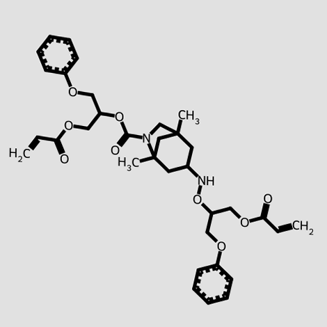 C=CC(=O)OCC(COc1ccccc1)ONC1CC2(C)CN(C(=O)OC(COC(=O)C=C)COc3ccccc3)C(C)(C1)C2